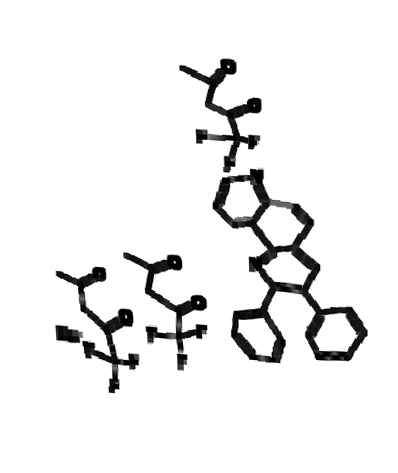 CC(=O)CC(=O)C(F)(F)F.CC(=O)CC(=O)C(F)(F)F.CC(=O)CC(=O)C(F)(F)F.[Eu].c1ccc(-c2cc3ccc4ncccc4c3nc2-c2ccccc2)cc1